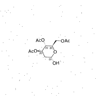 CC(=O)OC[C@H]1O[C@H](O)C[C@@H](OC(C)=O)[C@@H]1OC(C)=O